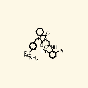 CC(C)c1cccc(C(C)C)c1NC(=O)CN1C(=O)N(Cc2ccc(C(F)(F)F)cc2)C2(CCCCC2)C1=O.CC(N)=O